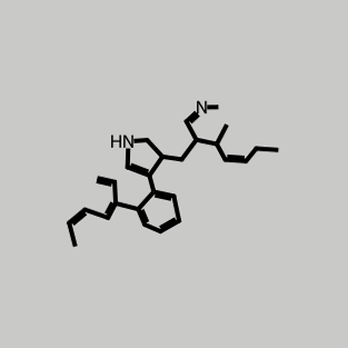 C=C/C(=C\C=C/C)c1ccccc1C1=CNCC1CC(/C=N\C)C(C)/C=C\CC